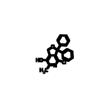 Cc1nc(Cl)c2c(c1O)COC2(c1ccccc1)c1ccccc1